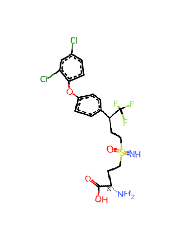 N=S(=O)(CCC(c1ccc(Oc2ccc(Cl)cc2Cl)cc1)C(F)(F)F)CC[C@H](N)C(=O)O